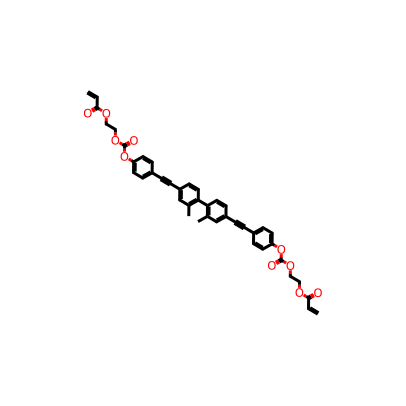 C=CC(=O)OCCOC(=O)Oc1ccc(C#Cc2ccc(-c3ccc(C#Cc4ccc(OC(=O)OCCOC(=O)C=C)cc4)cc3C)c(C)c2)cc1